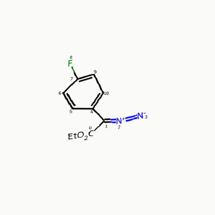 CCOC(=O)C(=[N+]=[N-])c1ccc(F)cc1